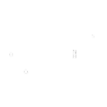 CC(=S)NCc1ccc2c(c1)OCO2